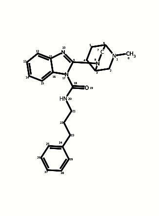 CN1CC2CCC1CN2c1nc2ccccc2n1C(=O)NCCCc1ccccc1